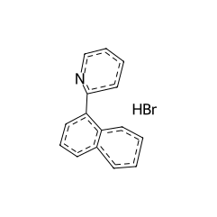 Br.c1ccc(-c2cccc3ccccc23)nc1